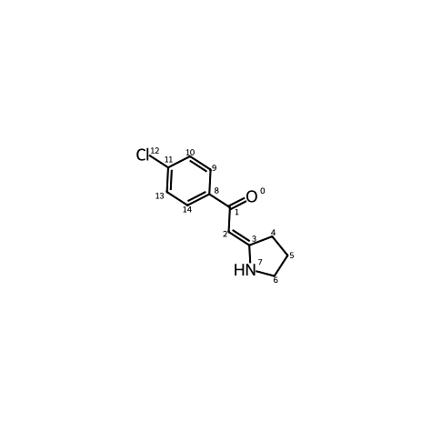 O=C(C=C1CCCN1)c1ccc(Cl)cc1